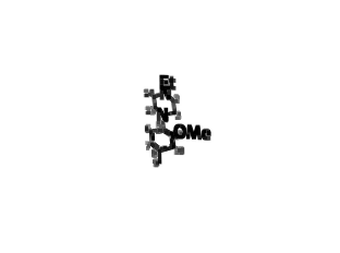 CCN1CCN(c2ccc(C)cc2OC)CC1